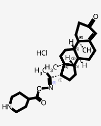 C/C(=N\OC(=O)C1CCNCC1)[C@H]1CC[C@H]2[C@@H]3CCC4=CC(=O)CC[C@]4(C)[C@H]3CC[C@]12C.Cl